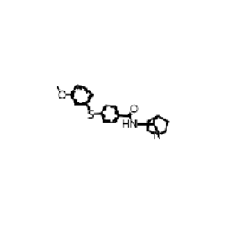 COc1cccc(Sc2ccc(C(=O)NC3CC4CCN(CC4)C3)cc2)c1